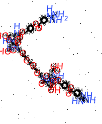 N=C(N)Nc1ccc(C(=O)Oc2ccc(COC(=O)N[C@@H](CC(=O)O)C(=O)N[C@@H](CC(=O)O)C(=O)NCCOCCOCCOCCOCCNC(=O)[C@H](CC(=O)O)NC(=O)[C@H](CC(=O)O)NC(=O)OCc3ccc(OC(=O)c4ccc(NC(=N)N)cc4)cc3)cc2)cc1